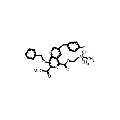 COC(=O)c1nc(C(=O)OCC[Si](C)(C)C)c2cc(Cc3ccc(F)cc3)cnc2c1OCc1ccccc1